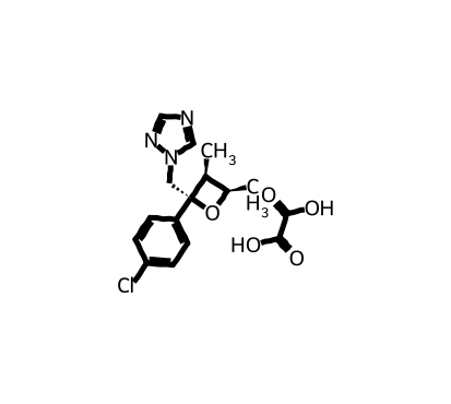 C[C@H]1O[C@@](Cn2cncn2)(c2ccc(Cl)cc2)[C@H]1C.O=C(O)C(=O)O